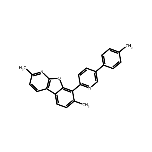 Cc1ccc(-c2ccc(-c3c(C)ccc4c3oc3nc(C)ccc34)nc2)cc1